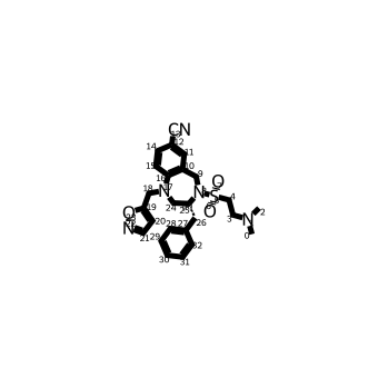 CN(C)CCS(=O)(=O)N1Cc2cc(C#N)ccc2N(Cc2ccno2)C[C@H]1Cc1ccccc1